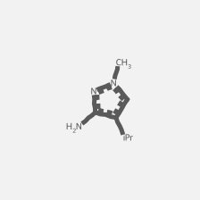 CC(C)c1cn(C)nc1N